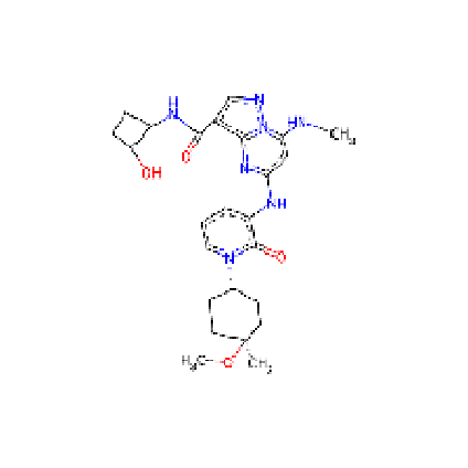 CNc1cc(Nc2cccn([C@H]3CC[C@](C)(OC)CC3)c2=O)nc2c(C(=O)NC3CCC3O)cnn12